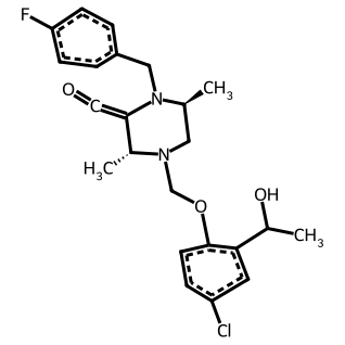 CC(O)c1cc(Cl)ccc1OCN1C[C@H](C)N(Cc2ccc(F)cc2)C(=C=O)[C@H]1C